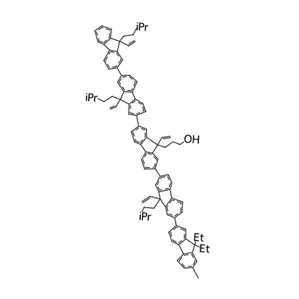 C=CC1(CCCO)c2cc(-c3ccc4c(c3)C(C=C)(CCC(C)C)c3cc(-c5ccc6c(c5)C(C=C)(CCC(C)C)c5ccccc5-6)ccc3-4)ccc2-c2ccc(-c3ccc4c(c3)C(C=C)(CCC(C)C)c3cc(-c5ccc6c(c5)C(CC)(CC)c5cc(C)ccc5-6)ccc3-4)cc21